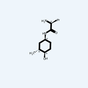 CC(C)[C@H](N)C(=O)N[C@H]1CC[C@@H](O)[C@H](C)C1